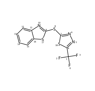 FC(F)(F)c1nnc(Sc2nc3ccccc3s2)s1